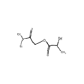 CCN(CC)C(=O)COC(=O)C(C)O